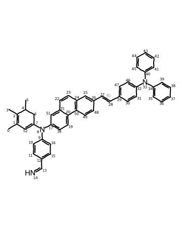 CC1=C(C)C(C)CC(N(c2ccc(C=N)cc2)c2ccc3c(ccc4cc(/C=C/c5ccc(N(c6ccccc6)c6ccccc6)cc5)ccc43)c2)=C1